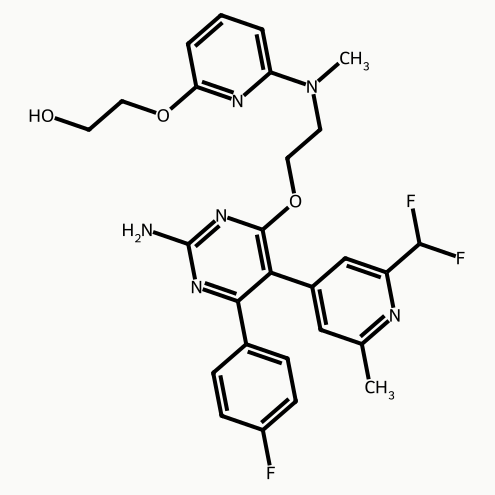 Cc1cc(-c2c(OCCN(C)c3cccc(OCCO)n3)nc(N)nc2-c2ccc(F)cc2)cc(C(F)F)n1